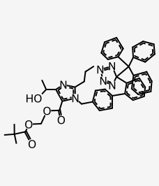 CCCc1nc(C(C)O)c(C(=O)OCOC(=O)C(C)(C)C)n1Cc1ccc(-c2ccccc2C2(C(c3ccccc3)(c3ccccc3)c3ccccc3)N=NN=N2)cc1